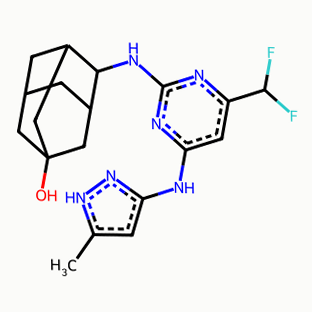 Cc1cc(Nc2cc(C(F)F)nc(NC3C4CC5CC3CC(O)(C5)C4)n2)n[nH]1